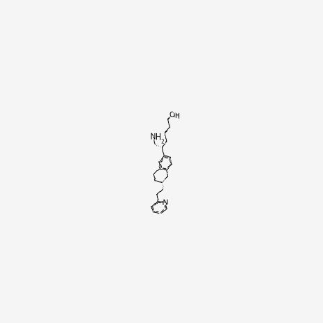 NC[C@H](CCCCO)c1ccc2c(c1)CC[C@@H](CCc1ccccn1)C2